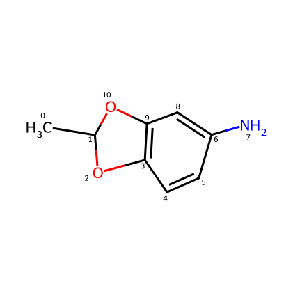 CC1Oc2ccc(N)cc2O1